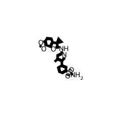 Cc1cc(NC(=O)C2(c3ccc4c(c3)OCO4)CC2)ncc1-c1cccc(S(N)(=O)=O)c1